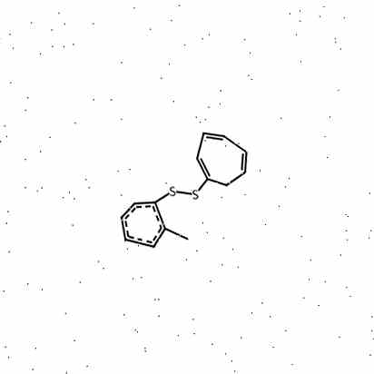 Cc1ccccc1SSC1=CC=CC=CC1